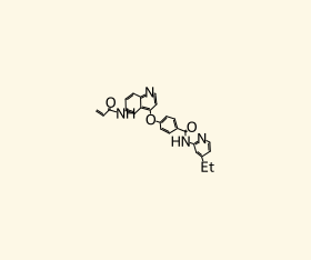 C=CC(=O)Nc1ccc2nccc(Oc3ccc(C(=O)Nc4cc(CC)ccn4)cc3)c2c1